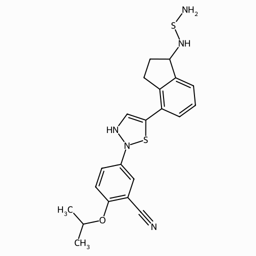 CC(C)Oc1ccc(N2NC=C(c3cccc4c3CCC4NSN)S2)cc1C#N